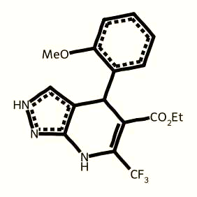 CCOC(=O)C1=C(C(F)(F)F)Nc2n[nH]cc2C1c1ccccc1OC